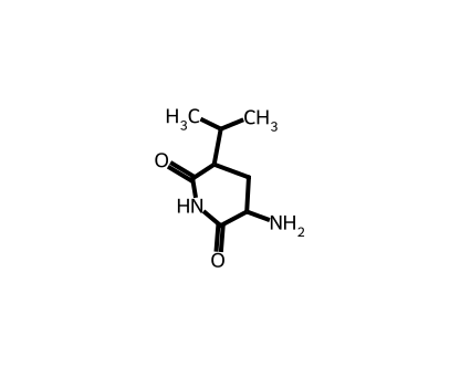 CC(C)C1CC(N)C(=O)NC1=O